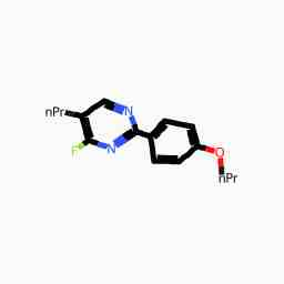 CCCOc1ccc(-c2ncc(CCC)c(F)n2)cc1